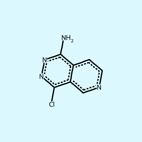 Nc1nnc(Cl)c2cnccc12